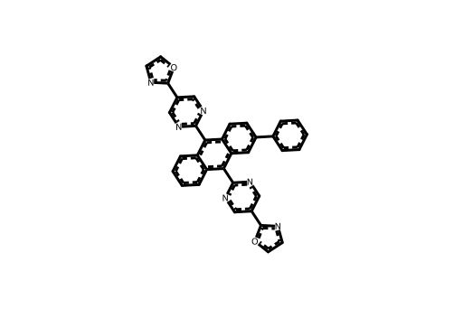 c1ccc(-c2ccc3c(-c4ncc(-c5ncco5)cn4)c4ccccc4c(-c4ncc(-c5ncco5)cn4)c3c2)cc1